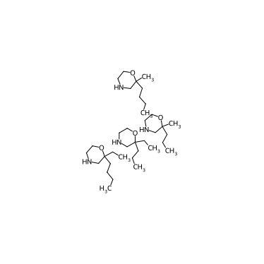 CCCC1(C)CNCCO1.CCCC1(CC)CNCCO1.CCCCC1(C)CNCCO1.CCCCC1(CC)CNCCO1